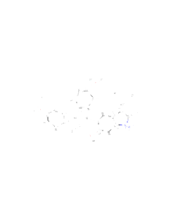 COc1ccc(CC2(Cc3ccc(OC)cc3)COc3cc4[nH]c5c(c4cc3C2)C(C)CCC5)cc1